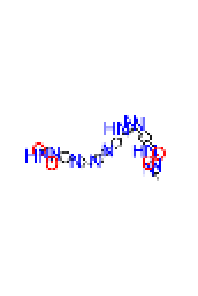 Cc1cc(-c2ncnc3[nH]c(-c4ccc(N5CC6(CN(CC7CCN(c8ccc(N9CCC(=O)NC9=O)cc8)CC7)C6)C5)cc4)cc23)ccc1C(C)NC(=O)c1nc(C(C)(C)C)no1